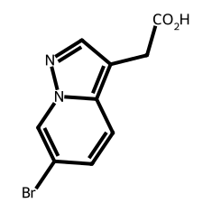 O=C(O)Cc1cnn2cc(Br)ccc12